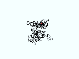 CC(=O)O.CC1(C)O[C@@H]2C[C@H]3[C@@H]4CCC5=CC(=O)C=C[C@]5(C)[C@@]4(F)[C@@H](O)C[C@]3(C)[C@]2(C(=O)CO)O1.C[C@@H]1C[C@H]2[C@@H]3C[C@H](F)C4=CC(=O)C=C[C@]4(C)[C@@]3(F)[C@@H](O)C[C@]2(C)[C@H]1C(=O)CO